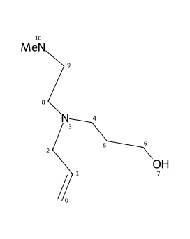 C=CCN(CCCO)CCNC